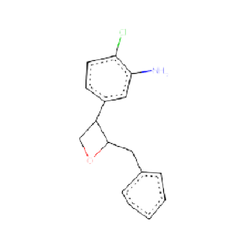 Nc1cc(C2COC2Cc2ccccc2)ccc1Cl